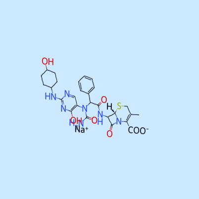 CC1=C(C(=O)[O-])N2C(=O)C(NC(=O)C(c3ccccc3)N(C(N)=O)c3cnc(NC4CCC(O)CC4)nc3O)[C@@H]2SC1.[Na+]